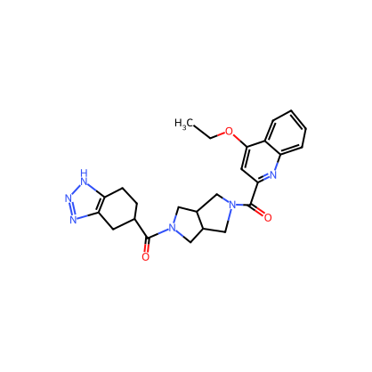 CCOc1cc(C(=O)N2CC3CN(C(=O)C4CCc5[nH]nnc5C4)CC3C2)nc2ccccc12